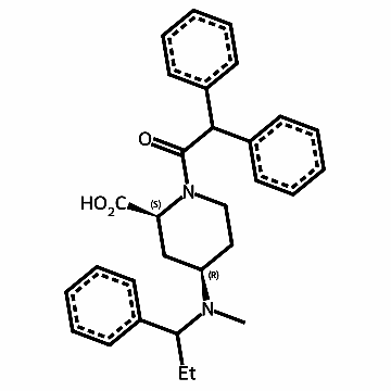 CCC(c1ccccc1)N(C)[C@@H]1CCN(C(=O)C(c2ccccc2)c2ccccc2)[C@H](C(=O)O)C1